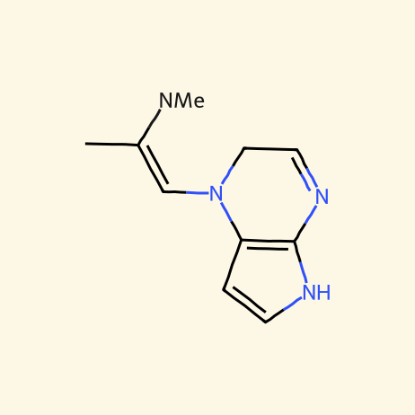 CN/C(C)=C\N1CC=Nc2[nH]ccc21